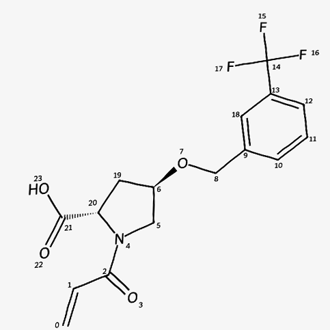 C=CC(=O)N1C[C@H](OCc2cccc(C(F)(F)F)c2)C[C@H]1C(=O)O